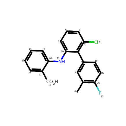 Cc1cc(-c2c(Cl)cccc2Nc2ccccc2C(=O)O)ccc1F